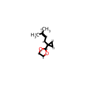 CC(C)=CCC1(C2OCCO2)CC1